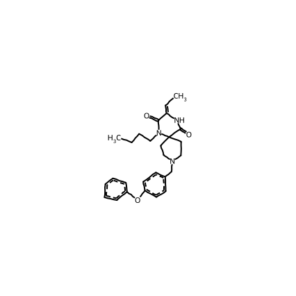 CC=C1NC(=O)C2(CCN(Cc3ccc(Oc4ccccc4)cc3)CC2)N(CCCC)C1=O